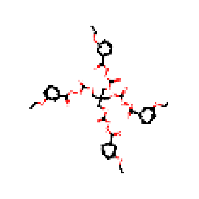 CCOc1cccc(C(=O)OOC(=O)OCC(COC(=O)OOC(=O)c2cccc(OCC)c2)(COC(=O)OOC(=O)c2cccc(OCC)c2)COC(=O)OOC(=O)c2cccc(OCC)c2)c1